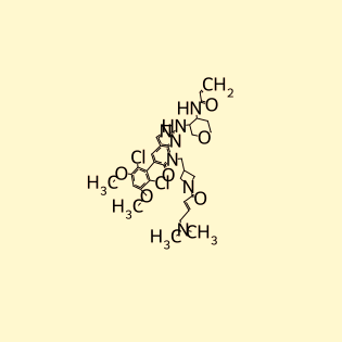 C=CC(=O)NC1CCOCC1Nc1ncc2cc(-c3c(Cl)c(OC)cc(OC)c3Cl)c(=O)n(CC3CN(C(=O)/C=C/CN(C)C)C3)c2n1